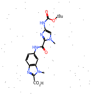 Cn1cc(NC(=O)OC(C)(C)C)nc1C(=O)Nc1ccc2nc(C(=O)O)n(C)c2c1